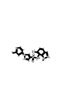 CCc1ccc2cnn(C)c2c1NS(=O)(=O)c1cnn(-c2ccnc(C)c2)c1